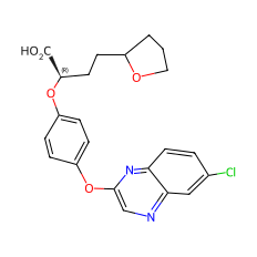 O=C(O)[C@@H](CCC1CCCO1)Oc1ccc(Oc2cnc3cc(Cl)ccc3n2)cc1